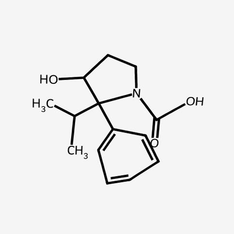 CC(C)C1(c2ccccc2)C(O)CCN1C(=O)O